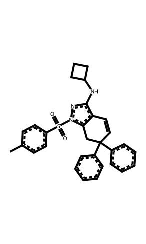 Cc1ccc(S(=O)(=O)n2nc(NC3CCC3)c3c2CC(c2ccccc2)(c2ccccc2)C=C3)cc1